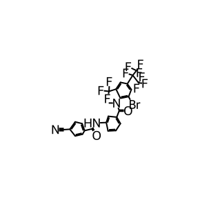 CN(C(=O)c1cccc(NC(=O)c2ccc(C#N)cc2)c1)c1c(Br)cc(C(F)(C(F)(F)F)C(F)(F)F)cc1C(F)(F)F